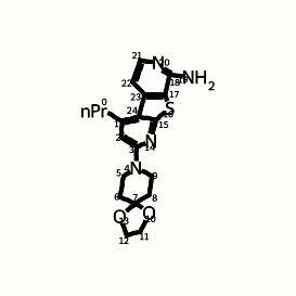 CCCc1cc(N2CCC3(CC2)OCCO3)nc2sc3c(N)nccc3c12